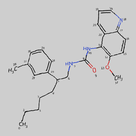 CCCCCC(CNC(=O)Nc1c(OC)ccc2ncccc12)c1cccc(C)c1